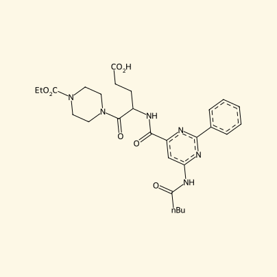 CCCCC(=O)Nc1cc(C(=O)NC(CCC(=O)O)C(=O)N2CCN(C(=O)OCC)CC2)nc(-c2ccccc2)n1